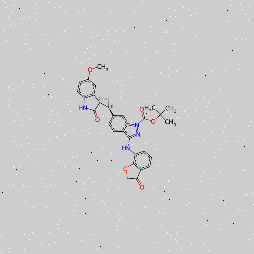 COc1ccc2c(c1)[C@]1(C[C@H]1c1ccc3c(Nc4cccc5c4OCC5=O)nn(C(=O)OC(C)(C)C)c3c1)C(=O)N2